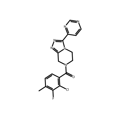 Cc1ccc(C(=O)N2CCn3c(nnc3-c3ccncn3)C2)c(Cl)c1F